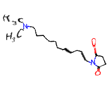 CN(C)CCCCCCCCC=CN1C(=O)CCC1=O